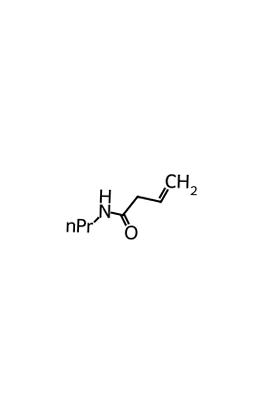 C=CCC(=O)NCCC